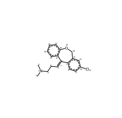 CN(C)CC/C=C1/c2ccc(Cl)cc2COc2ccccc21